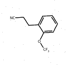 N#CCCc1ccccc1OC(F)(F)F